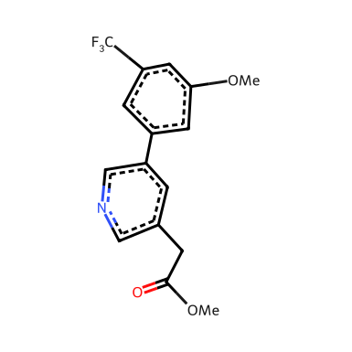 COC(=O)Cc1cncc(-c2cc(OC)cc(C(F)(F)F)c2)c1